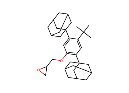 CC(C)(C)c1cc(C23CC4CC(CC(C4)C2)C3)c(OCC2CO2)cc1C12CC3CC(CC(C3)C1)C2